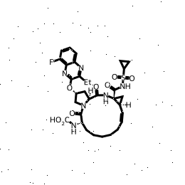 CCc1nc2cccc(F)c2nc1O[C@@H]1C[C@H]2C(=O)N[C@]3(C(=O)NS(=O)(=O)C4CC4)C[C@H]3C=CCCCCC[C@H](NC(=O)O)C(=O)N2C1